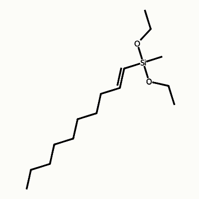 CCCCCCCCC=C[Si](C)(OCC)OCC